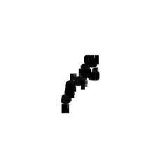 CC[C@@H]1OCC[C@H]1n1c(Cc2cc(F)c(-c3cccc(OCc4ccc(C#N)cc4F)n3)cc2F)nc2ccc(C(=O)O)cc21